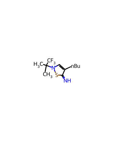 CCCCc1cn(C(C)(C)C(F)(F)F)sc1=N